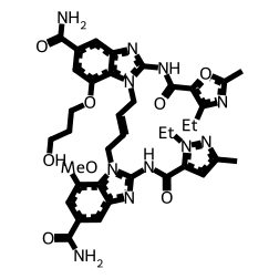 CCc1nc(C)oc1C(=O)Nc1nc2cc(C(N)=O)cc(OCCCO)c2n1C/C=C/Cn1c(NC(=O)c2cc(C)nn2CC)nc2cc(C(N)=O)cc(OC)c21